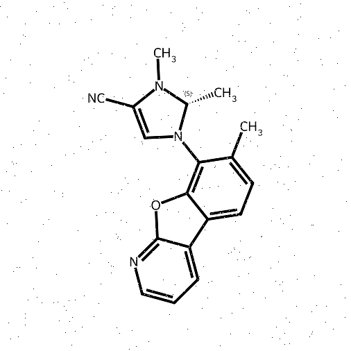 Cc1ccc2c(oc3ncccc32)c1N1C=C(C#N)N(C)[C@@H]1C